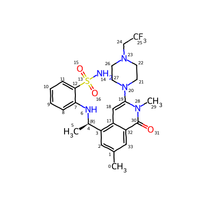 Cc1cc([C@@H](C)Nc2ccccc2S(N)(=O)=O)c2cc(N3CCN(CC(F)(F)F)CC3)n(C)c(=O)c2c1